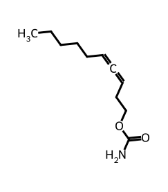 CCCCCC=C=CCCOC(N)=O